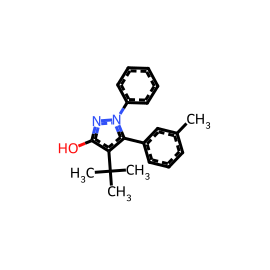 Cc1cccc(-c2c(C(C)(C)C)c(O)nn2-c2ccccc2)c1